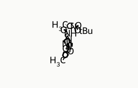 Cc1ccc(S(=O)(=O)n2ccc3nc(CNC(=O)[C@H]4CN(C(=O)OC(C)(C)C)CC[C@H]4C)cnc32)cc1